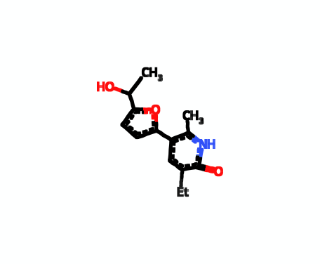 CCc1cc(-c2ccc(C(C)O)o2)c(C)[nH]c1=O